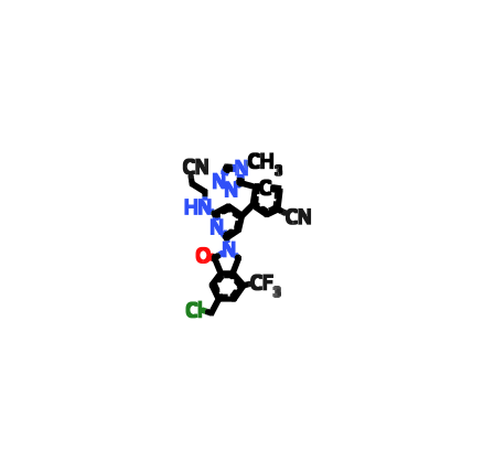 Cn1cnnc1-c1ccc(C#N)cc1-c1cc(NCCC#N)nc(N2Cc3c(cc(CCl)cc3C(F)(F)F)C2=O)c1